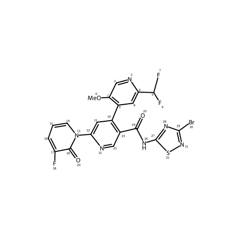 COc1cnc(C(F)F)cc1-c1cc(-n2cccc(F)c2=O)ncc1C(=O)Nc1nc(Br)ns1